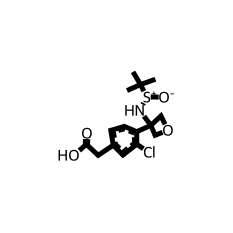 CC(C)(C)[S+]([O-])NC1(c2ccc(CC(=O)O)cc2Cl)COC1